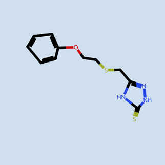 S=c1[nH]nc(CSCCOc2ccccc2)[nH]1